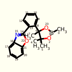 CB1OC(C)(C)C(C)(c2ccccc2-c2nc3ccccc3o2)O1